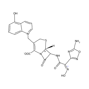 Nc1nc(/C(=N/O)C(=O)NC2C(=O)N3C(C(=O)[O-])=C(C[n+]4cccc5c(O)cccc54)CS[C@H]23)no1